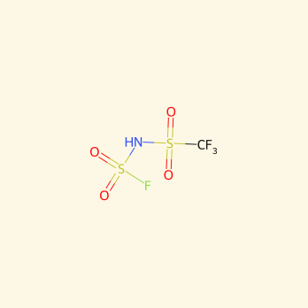 O=S(=O)(F)NS(=O)(=O)C(F)(F)F